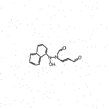 O=CC=CN(C=O)N(O)c1cccc2ccccc12